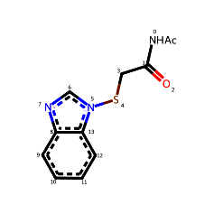 CC(=O)NC(=O)CSn1cnc2ccccc21